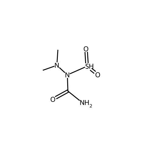 CN(C)N(C(N)=O)[SH](=O)=O